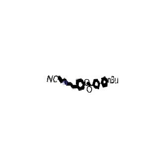 CCCCc1ccc([C@H]2CC[C@H](C(=O)OC3CCC(CC/C=C/C=CC#N)CC3)CC2)cc1